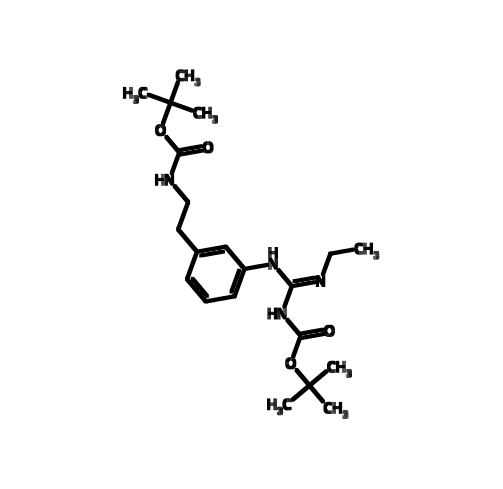 CC/N=C(/NC(=O)OC(C)(C)C)Nc1cccc(CCNC(=O)OC(C)(C)C)c1